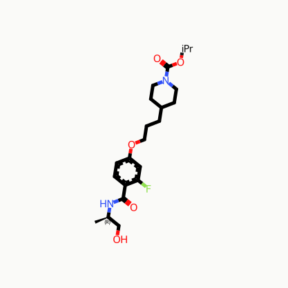 CC(C)OC(=O)N1CCC(CCCOc2ccc(C(=O)N[C@H](C)CO)c(F)c2)CC1